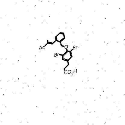 CC(=O)C(C)=Cc1ccccc1COc1c(Br)cc(CCC(=O)O)cc1Br